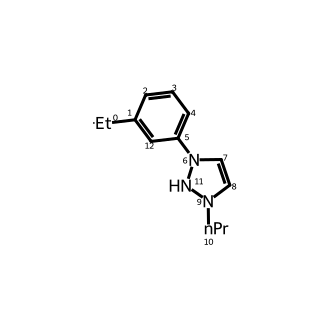 C[CH]c1cccc(N2C=CN(CCC)N2)c1